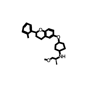 COC[C@H](C)NC1CCC(Oc2ccc3c(c2)CCC(c2ccccc2C)O3)CC1